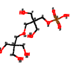 O=S(=O)(O)OCC(CO)(CO)COCC(CO)(CO)CO